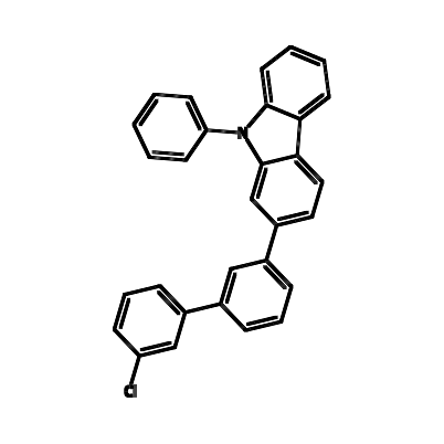 Clc1cccc(-c2cccc(-c3ccc4c5ccccc5n(-c5ccccc5)c4c3)c2)c1